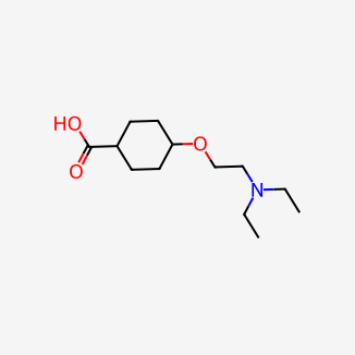 CCN(CC)CCOC1CCC(C(=O)O)CC1